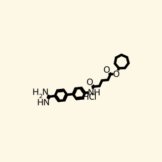 Cl.N=C(N)c1ccc(-c2ccc(NC(=O)CCCC(=O)OC3CCCCCC3)cc2)cc1